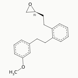 COc1cccc(CCc2ccccc2CC[C@H]2CO2)c1